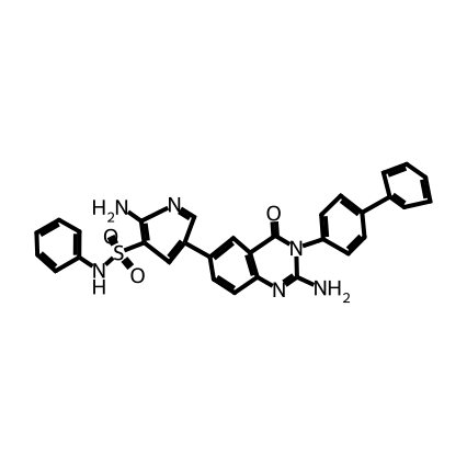 Nc1ncc(-c2ccc3nc(N)n(-c4ccc(-c5ccccc5)cc4)c(=O)c3c2)cc1S(=O)(=O)Nc1ccccc1